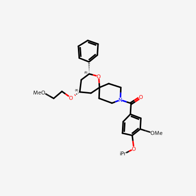 COCCO[C@@H]1C[C@H](c2ccccc2)OC2(CCN(C(=O)c3ccc(OC(C)C)c(OC)c3)CC2)C1